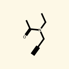 C#CCN(CC)C(C)=O